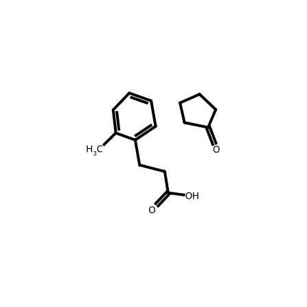 Cc1ccccc1CCC(=O)O.O=C1CCCC1